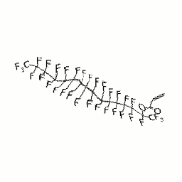 C=CC(=O)OC(F)(C(F)(F)F)C(F)(F)C(F)(F)C(F)(F)C(F)(F)C(F)(F)C(F)(F)C(F)(F)C(F)(F)C(F)(F)C(F)(F)C(F)(F)C(F)(F)C(F)(F)C(F)(F)F